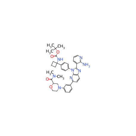 CN(C)C(=O)C1CN(c2cccc(-c3ccc4nc(-c5cccnc5N)n(-c5ccc(C6(NC(=O)OC(C)(C)C)CCC6)cc5)c4n3)c2)CCO1